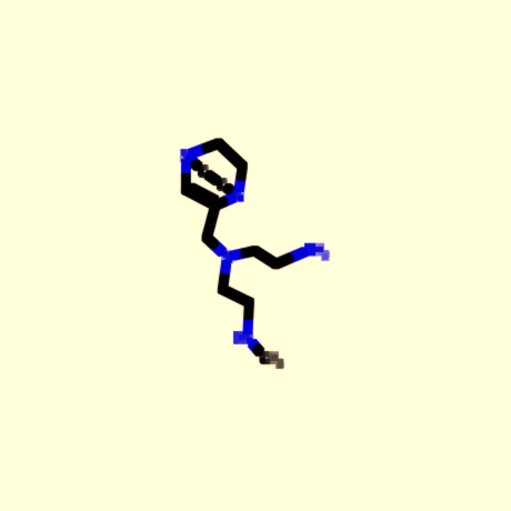 CNCCN(CCN)CC1=CN2CCN1CC2